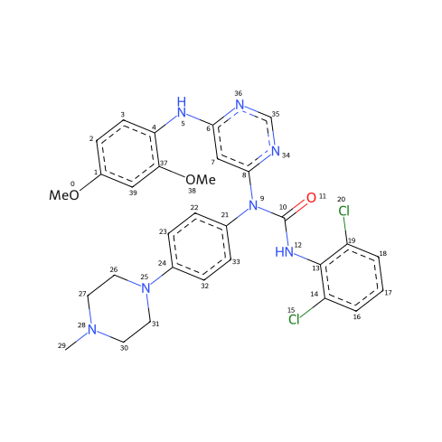 COc1ccc(Nc2cc(N(C(=O)Nc3c(Cl)cccc3Cl)c3ccc(N4CCN(C)CC4)cc3)ncn2)c(OC)c1